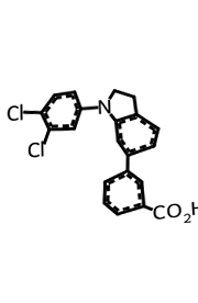 O=C(O)c1cccc(-c2ccc3c(c2)N(c2ccc(Cl)c(Cl)c2)CC3)c1